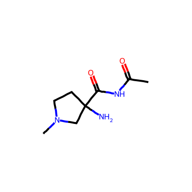 CC(=O)NC(=O)C1(N)CCN(C)C1